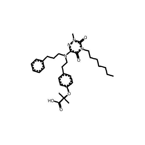 CCCCCCCn1c(=O)c(N(CCCc2ccccc2)CCc2ccc(OC(C)(C)C(=O)O)cc2)nn(C)c1=O